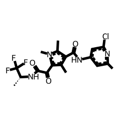 Cc1cc(NC(=O)c2c(C)c(C(=O)C(=O)N[C@H](C)C(F)(F)F)n(C)c2C)cc(Cl)n1